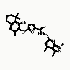 Cc1cc2c(c(Br)c1Oc1ccc(C(=O)NNc3cc(C)c4c(C)nn(C)c4n3)o1)C(C)(C)CCC2